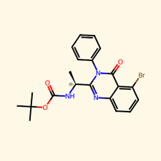 C[C@H](NC(=O)OC(C)(C)C)c1nc2cccc(Br)c2c(=O)n1-c1ccccc1